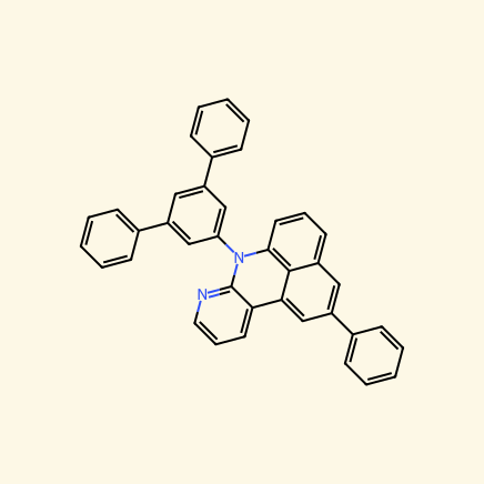 c1ccc(-c2cc(-c3ccccc3)cc(N3c4ncccc4-c4cc(-c5ccccc5)cc5cccc3c45)c2)cc1